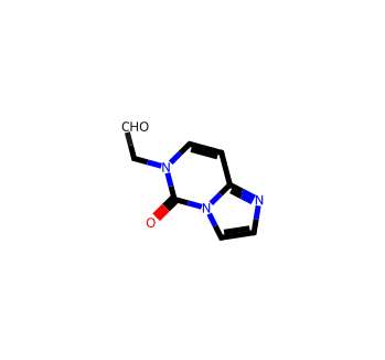 O=CCn1ccc2nccn2c1=O